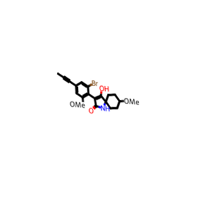 CC#Cc1cc(Br)c(C2=C(O)C3(CCC(OC)CC3)NC2=O)c(OC)c1